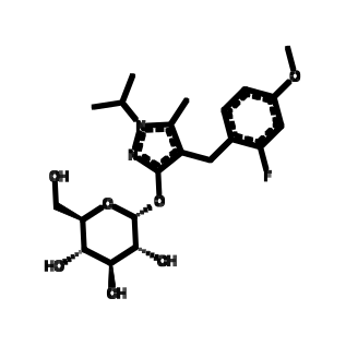 COc1ccc(Cc2c(O[C@H]3O[C@H](CO)[C@@H](O)[C@H](O)[C@H]3O)nn(C(C)C)c2C)c(F)c1